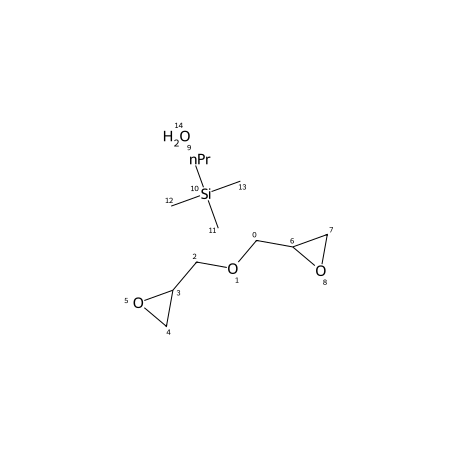 C(OCC1CO1)C1CO1.CCC[Si](C)(C)C.O